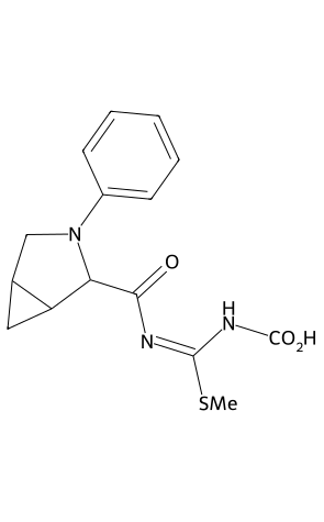 CSC(=NC(=O)C1C2CC2CN1c1ccccc1)NC(=O)O